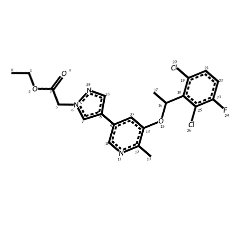 CCOC(=O)Cn1cc(-c2cnc(C)c(OC(C)c3c(Cl)ccc(F)c3Cl)c2)cn1